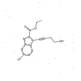 CCOC(=O)c1nc2cc(Cl)ccn2c1C#CCCO